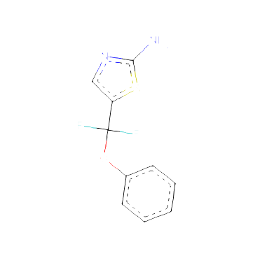 Nc1ncc(C(F)(F)Oc2ccccc2)s1